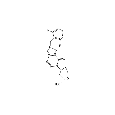 C[C@@H]1C[C@@H](n2nnc3cn(Cc4c(F)cccc4F)nc3c2=O)CCO1